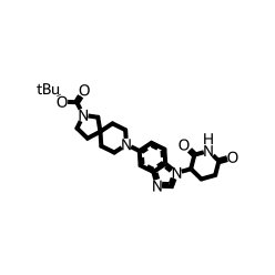 CC(C)(C)OC(=O)N1CCC2(CCN(c3ccc4c(c3)ncn4C3CCC(=O)NC3=O)CC2)C1